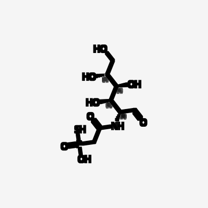 O=C[C@H](NC(=O)CP(=O)(O)S)[C@@H](O)[C@H](O)[C@H](O)CO